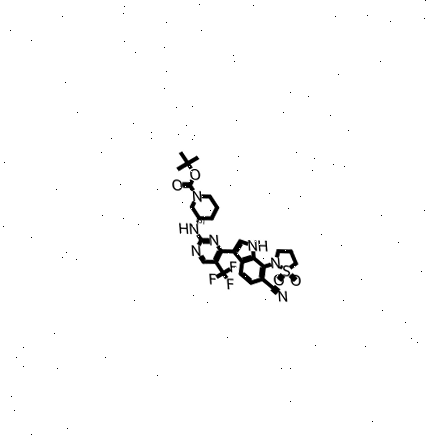 CC(C)(C)OC(=O)N1CCC[C@H](Nc2ncc(C(F)(F)F)c(-c3c[nH]c4c(N5CCCS5(=O)=O)c(C#N)ccc34)n2)C1